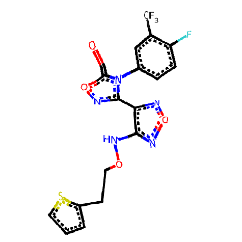 O=c1onc(-c2nonc2NOCCc2cccs2)n1-c1ccc(F)c(C(F)(F)F)c1